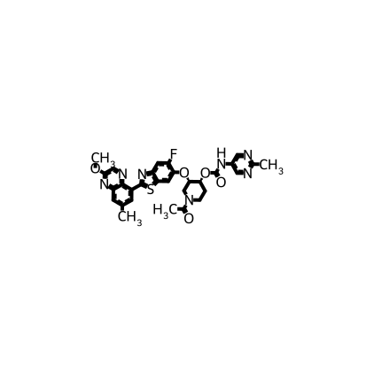 COc1cnc2c(-c3nc4cc(F)c(O[C@@H]5CN(C(C)=O)CC[C@@H]5OC(=O)Nc5cnc(C)nc5)cc4s3)cc(C)cc2n1